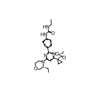 CCNC(=O)Nc1ccc(-c2nc(N3CCOC[C@@H]3CC)cc(C3(S(C)(=O)=O)CC3)n2)cc1